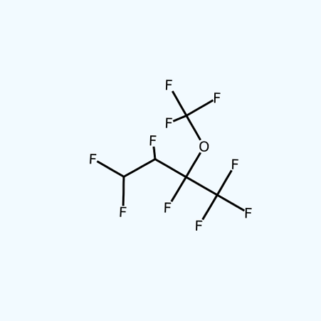 FC(F)C(F)C(F)(OC(F)(F)F)C(F)(F)F